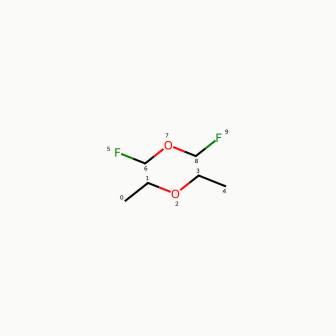 CCOCC.FCOCF